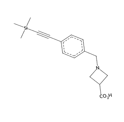 C[Si](C)(C)C#Cc1ccc(CN2CC(C(=O)O)C2)cc1